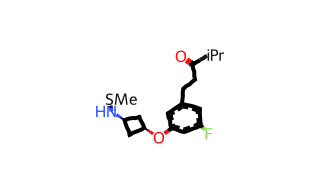 CSN[C@H]1C[C@@H](Oc2cc(F)cc(CCC(=O)C(C)C)c2)C1